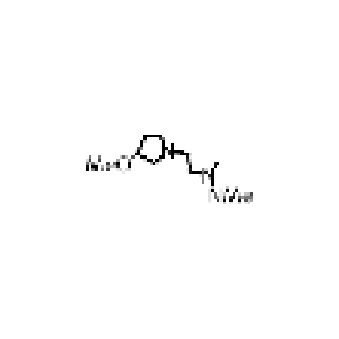 CNN(C)CCN1CC[C@@H](OC)C1